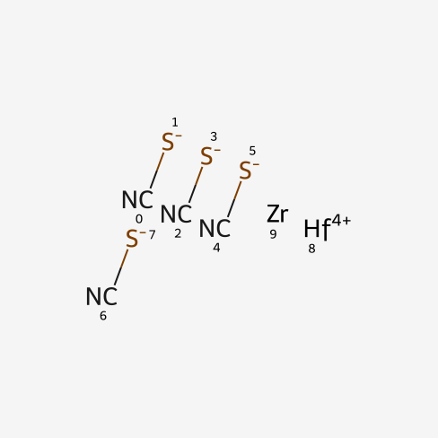 N#C[S-].N#C[S-].N#C[S-].N#C[S-].[Hf+4].[Zr]